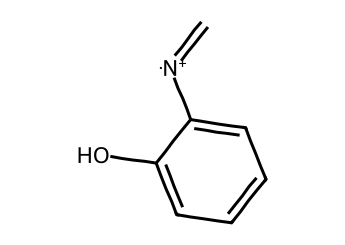 C=[N+]c1ccccc1O